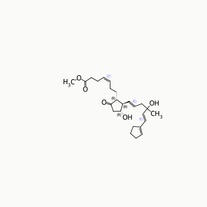 COC(=O)CC/C=C\CC[C@H]1C(=O)C[C@@H](O)[C@@H]1/C=C/CC(C)(O)/C=C/C1=CCCC1